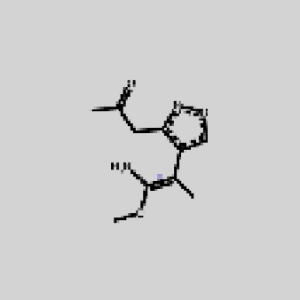 CO/C(N)=C(\C)c1conc1CC(C)=O